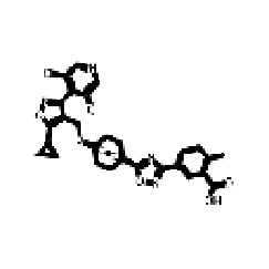 O=C(O)c1cc(-c2noc(C34CCC(OCc5c(-c6c(Cl)cncc6Cl)noc5C5CC5)(CC3)CC4)n2)ccc1F